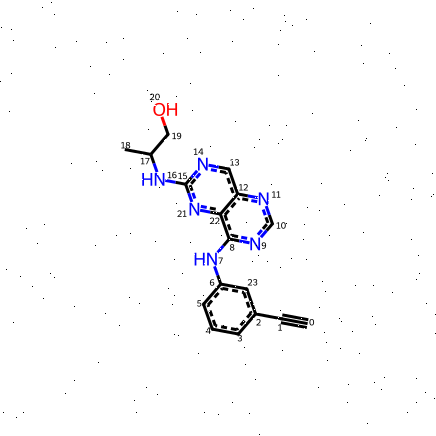 C#Cc1cccc(Nc2ncnc3cnc(NC(C)CO)nc23)c1